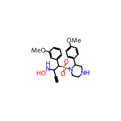 C#CC(NO)C(c1cccc(OC)c1)S(=O)(=O)N1CCNCC1c1ccc(OC)cc1